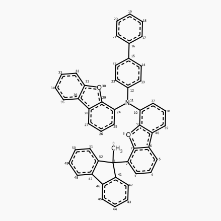 CC1(c2cccc3c2oc2c(N(c4ccc(-c5ccccc5)cc4)c4cccc5c4oc4ccccc45)cccc23)c2ccccc2-c2ccccc21